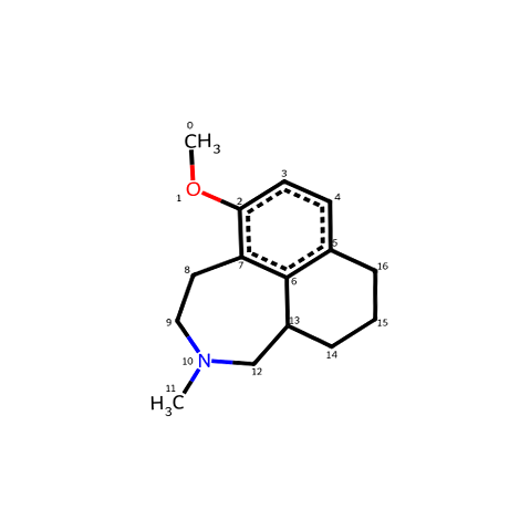 COc1ccc2c3c1CCN(C)CC3CCC2